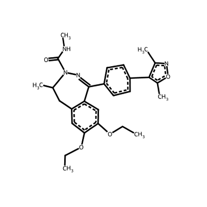 CCOc1cc2c(cc1OCC)C(c1ccc(-c3c(C)noc3C)cc1)=NN(C(=O)NC)C(C)C2